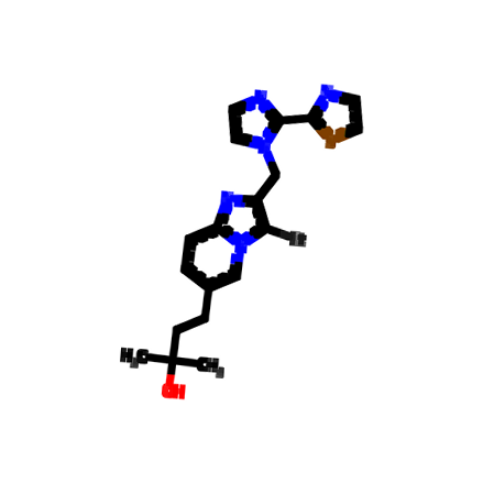 CCc1c(Cn2ccnc2-c2nccs2)nc2ccc(CCC(C)(C)O)cn12